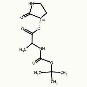 CC(NC(=O)OC(C)(C)C)C(=O)O[C@H]1CCNC1=O